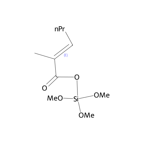 CCC/C=C(\C)C(=O)O[Si](OC)(OC)OC